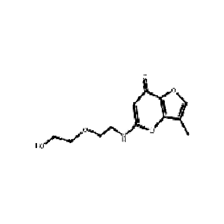 Cc1coc2c(=O)cc(NCCOCCO)oc12